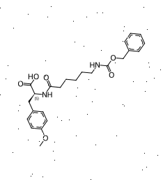 COc1ccc(C[C@H](NC(=O)CCCCCNC(=O)OCc2ccccc2)C(=O)O)cc1